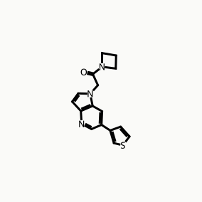 O=C(Cn1ccc2ncc(-c3ccsc3)cc21)N1CCC1